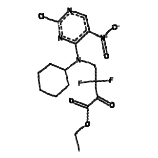 CCOC(=O)C(=O)C(F)(F)CN(c1nc(Cl)ncc1[N+](=O)[O-])C1CCCCC1